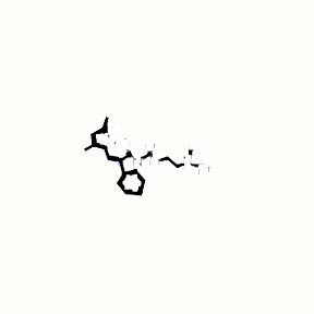 CCN(CC)CCOC(=O)N1C(=O)/C(=C\c2[nH]c(C)cc2C)c2ccccc21